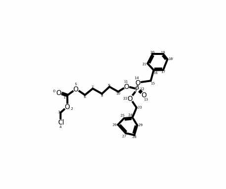 O=C(OCCl)OCCCCCOP(=O)(OCc1ccccc1)OCc1ccccc1